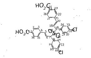 O=C(O)c1ccc(C=CC(c2ccc(Cl)cc2)S(=O)(=O)C(C=Cc2ccc(C(=O)O)cc2)c2ccc(Cl)cc2)cc1